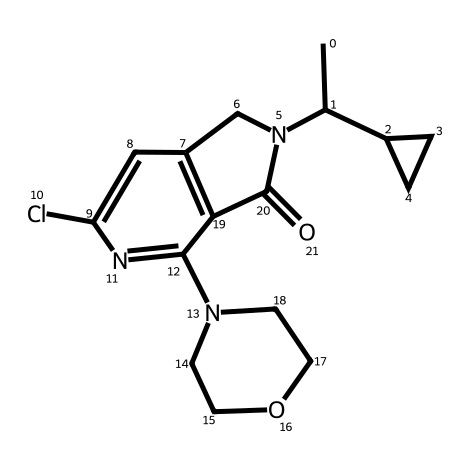 CC(C1CC1)N1Cc2cc(Cl)nc(N3CCOCC3)c2C1=O